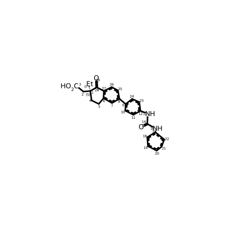 CC[C@@]1(CC(=O)O)CCc2cc(-c3ccc(NC(=O)Nc4ccccc4)cc3)ccc2C1=O